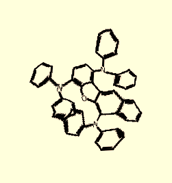 c1ccc(N(c2ccccc2)c2c3ccccc3cc3c2oc2c(N(c4ccccc4)c4ccccc4)ccc(N(c4ccccc4)c4ccccc4)c23)cc1